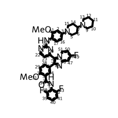 COc1cc(N2CCC(N3CCCCC3)CC2)ccc1Nc1nccc(-c2c(-c3ccc(OC)c(C(=O)Nc4c(F)cccc4F)c3)nc3cc(F)ccn23)n1